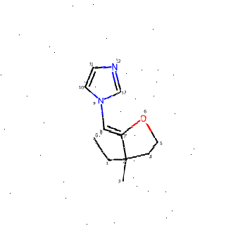 CCC1(C)CCOC1=Cn1ccnc1